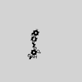 COc1cc(NC(C)=O)ccc1OCCCN1CCN(c2ccccc2C)CC1